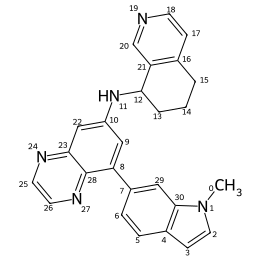 Cn1ccc2ccc(-c3cc(NC4CCCc5ccncc54)cc4nccnc34)cc21